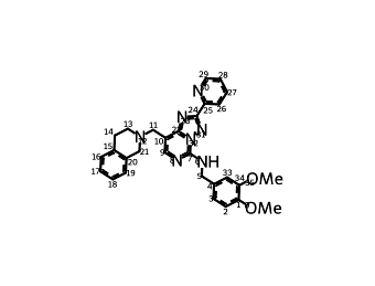 COc1ccc(CNc2ncc(CN3CCc4ccccc4C3)c3nc(-c4ccccn4)nn23)cc1OC